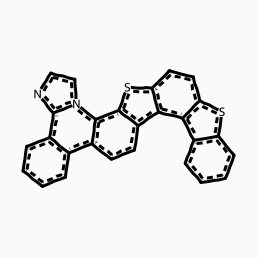 c1ccc2c(c1)sc1ccc3sc4c(ccc5c6ccccc6c6nccn6c54)c3c12